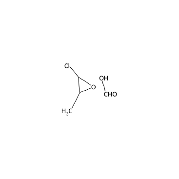 CC1OC1Cl.O=CO